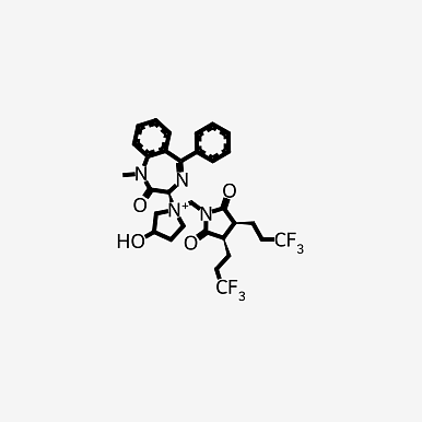 CN1C(=O)[C@H]([N+]2(CN3C(=O)[C@@H](CCC(F)(F)F)[C@@H](CCC(F)(F)F)C3=O)CCC(O)C2)N=C(c2ccccc2)c2ccccc21